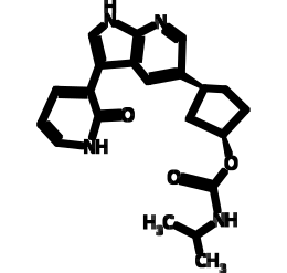 CC(C)NC(=O)O[C@@H]1CC[C@H](c2cnc3[nH]cc(-c4ccc[nH]c4=O)c3c2)C1